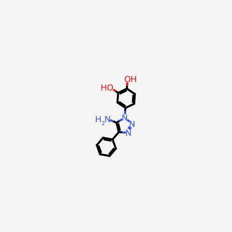 Nc1c(-c2ccccc2)nnn1-c1ccc(O)c(O)c1